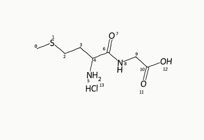 CSCCC(N)C(=O)NCC(=O)O.Cl